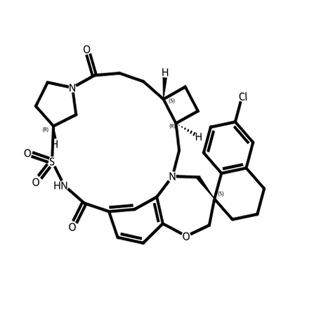 O=C1NS(=O)(=O)[C@@H]2CCN(C2)C(=O)CC[C@@H]2CC[C@H]2CN2C[C@@]3(CCCc4cc(Cl)ccc43)COc3ccc1cc32